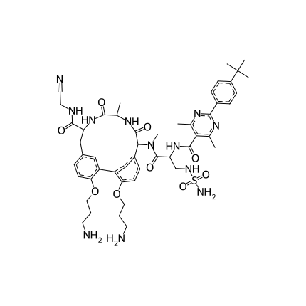 Cc1nc(-c2ccc(C(C)(C)C)cc2)nc(C)c1C(=O)NC(CNS(N)(=O)=O)C(=O)N(C)C1C(=O)NC(C)C(=O)NC(C(=O)NCC#N)Cc2ccc(OCCCN)c(c2)-c2cc1ccc2OCCCN